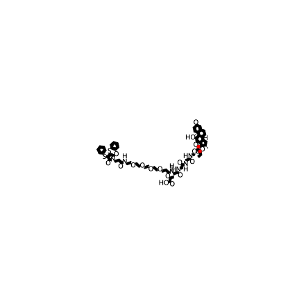 CCC(=O)O[C@]1(C(=O)COCNC(=O)CNC(=O)CNC(=O)[C@H](CCC(=O)O)NC(=O)CCOCCOCCOCCOCCNC(=O)CCN2C(=O)C(Sc3ccccc3)=C(Sc3ccccc3)C2=O)[C@@H](C)CC2[C@@H]3CCC4=CC(=O)C=C[C@]4(C)[C@@]3(Cl)[C@@H](O)C[C@@]21C